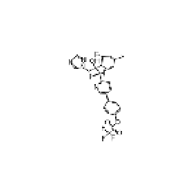 O=S(=O)(Oc1ccc(-c2ccc(C(F)(F)C(O)(Cn3cncn3)c3ccc(F)cc3F)nc2)cc1)C(F)(F)F